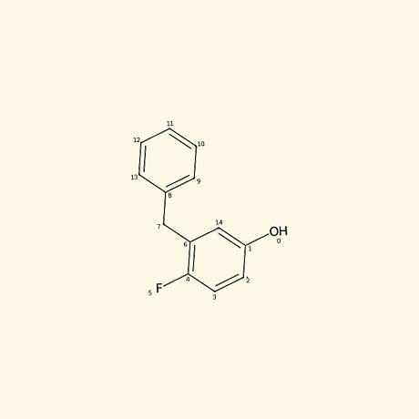 Oc1[c]cc(F)c(Cc2ccccc2)c1